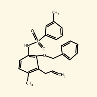 C=CCc1c(C)ccc(NS(=O)(=O)c2cccc(C)c2)c1OCc1ccccc1